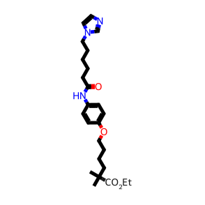 CCOC(=O)C(C)(C)CCCCOc1ccc(NC(=O)CCCCCn2ccnc2)cc1